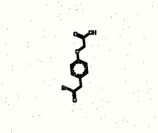 O=C(O)COc1ccc(CC(=O)Br)cc1